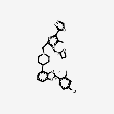 Cc1c(-c2nnco2)nc(CN2CCC(c3cccc4c3O[C@@](C)(c3ccc(Cl)cc3F)O4)CC2)n1C[C@@H]1CCO1